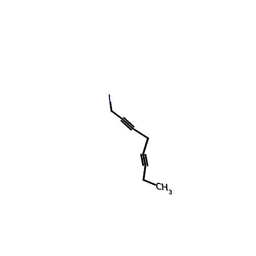 CCC#CCC#CCI